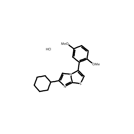 COc1ccc(OC)c(-c2csc3nc(C4CCCCC4)cn23)c1.Cl